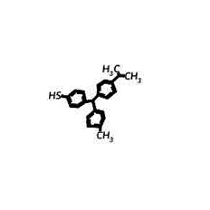 Cc1ccc(C(c2ccc(S)cc2)c2ccc(C(C)C)cc2)cc1